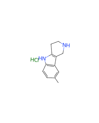 Cc1ccc2[nH]c3c(c2c1)CNCC3.Cl